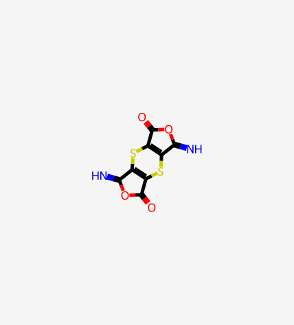 N=c1oc(=O)c2sc3c(=N)oc(=O)c3sc12